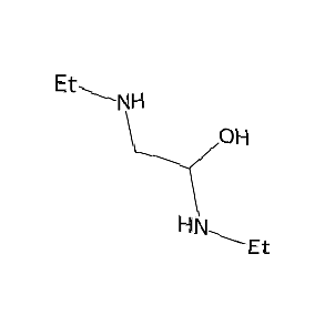 CCNCC(O)NCC